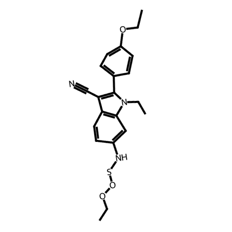 CCOOSNc1ccc2c(C#N)c(-c3ccc(OCC)cc3)n(CC)c2c1